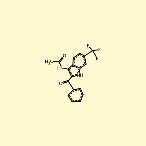 CC(=O)Nc1c(C(=O)c2ccccc2)[nH]c2cc(C(F)(F)F)ccc12